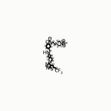 CS(=O)(=O)N1CCN(CCn2c(=O)oc3ccc(CNC4CC5(CCN(c6ncnc7sc(CC(F)(F)F)cc67)C5)C4)cc32)CC1